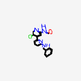 O=CNc1cc(-c2cccc(NCc3ccccc3)n2)c(Cl)cn1